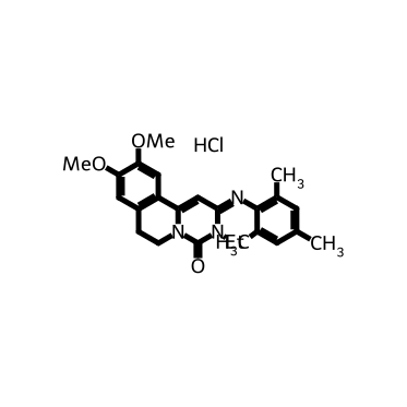 CCn1c(=O)n2c(c/c1=N/c1c(C)cc(C)cc1C)-c1cc(OC)c(OC)cc1CC2.Cl